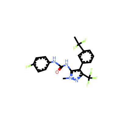 Cn1nc(C(F)(F)F)c(-c2cccc(C(C)(F)F)c2)c1NC(=O)Nc1ccc(F)cc1